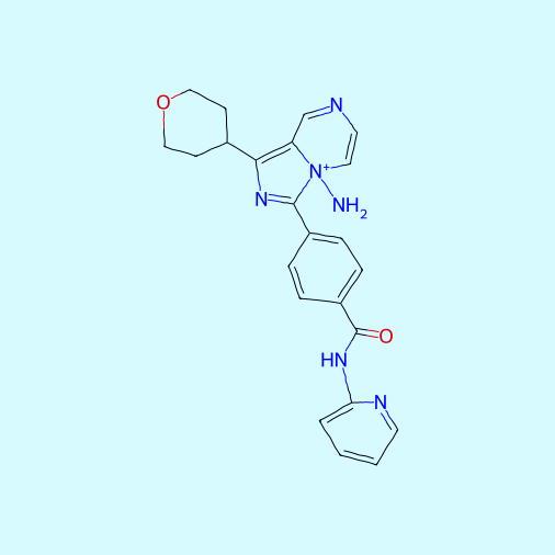 N[N+]12C=CN=CC1=C(C1CCOCC1)N=C2c1ccc(C(=O)Nc2ccccn2)cc1